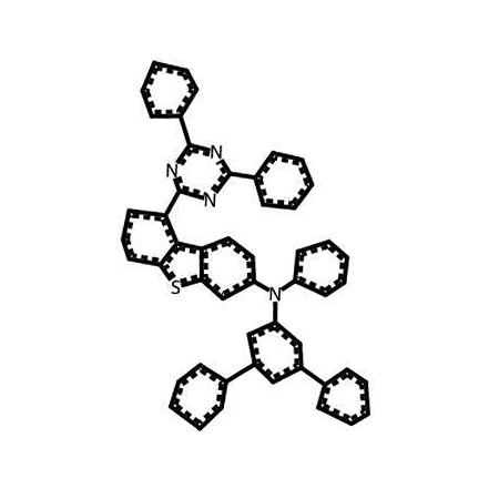 c1ccc(-c2cc(-c3ccccc3)cc(N(c3ccccc3)c3ccc4c(c3)sc3cccc(-c5nc(-c6ccccc6)nc(-c6ccccc6)n5)c34)c2)cc1